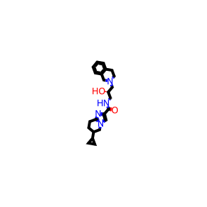 O=C(NC[C@H](O)CN1CCc2ccccc2C1)c1cn2c(n1)CCC(C1CC1)C2